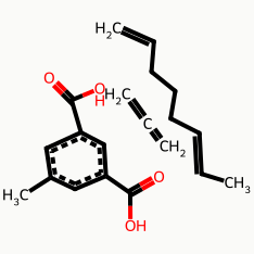 C=C=C.C=CCCCC=CC.Cc1cc(C(=O)O)cc(C(=O)O)c1